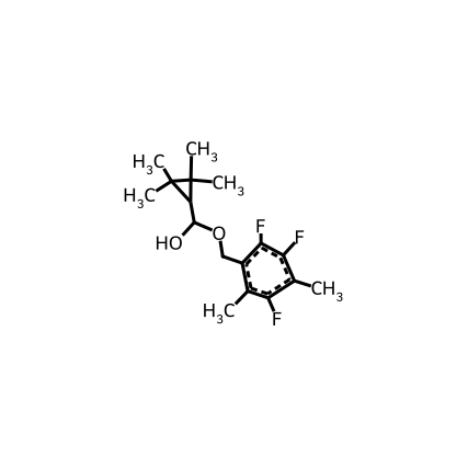 Cc1c(F)c(C)c(COC(O)C2C(C)(C)C2(C)C)c(F)c1F